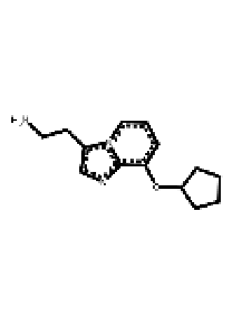 NCCc1cnc2c(OC3CCCC3)cccn12